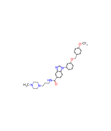 CN1CCN(CCCNC(=O)c2ccc3c(c2)ncn3-c2cccc(OCc3ccc(OC(F)(F)F)cc3)c2)CC1